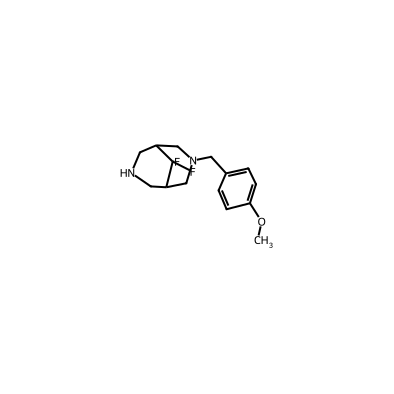 COc1ccc(CN2CC3CNCC(C2)C3(F)F)cc1